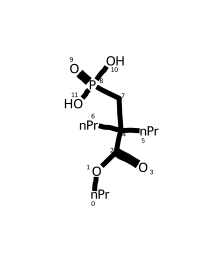 CCCOC(=O)C(CCC)(CCC)CP(=O)(O)O